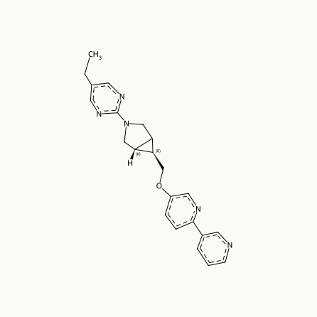 CCc1cnc(N2CC3[C@@H](COc4ccc(-c5cccnc5)nc4)[C@@H]3C2)nc1